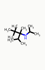 [CH2]C(NC(C)C)(C(C)C)C(C)(C)C